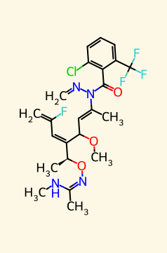 C=NN(C(=O)c1c(Cl)cccc1C(F)(F)F)/C(C)=C/C(OC)/C(=C\C(=C)F)[C@H](C)O/N=C(/C)NC